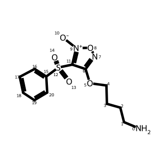 NCCCCOc1no[n+]([O-])c1S(=O)(=O)c1ccccc1